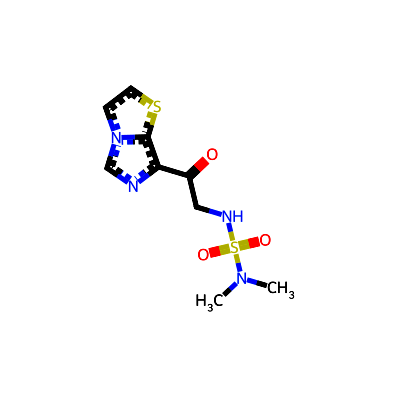 CN(C)S(=O)(=O)NCC(=O)c1ncn2ccsc12